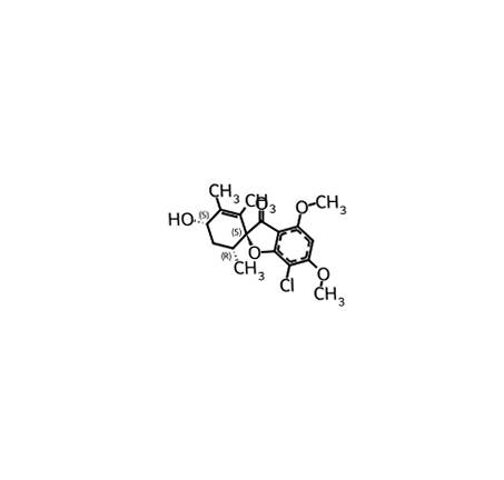 COc1cc(OC)c2c(c1Cl)O[C@]1(C2=O)C(C)=C(C)[C@@H](O)C[C@H]1C